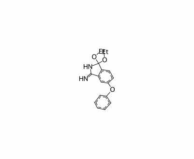 CCOC1(OCC)NC(=N)c2cc(Oc3ccccc3)ccc21